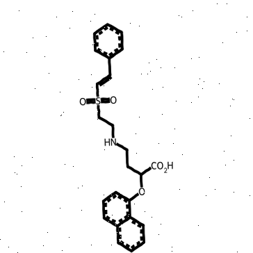 O=C(O)C(CCNCCS(=O)(=O)C=Cc1ccccc1)Oc1cccc2ccccc12